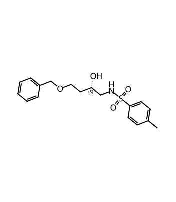 Cc1ccc(S(=O)(=O)NC[C@@H](O)CCOCc2ccccc2)cc1